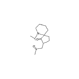 CC(=O)CC1CCC2(CCCCN2C(C)C)C1=O